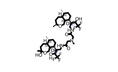 C[C@@H]1CC[C@@H](/C(CNC(=O)CN(C)CC(=O)NC/C(=C(/O)C(F)(F)F)[C@@H]2CC[C@@H](C)[C@@H]3CCC(C)(O)OC[C@]23O)=C(\O)C(F)(F)F)[C@@]2(O)CO[C@@H](C)CC[C@@H]12